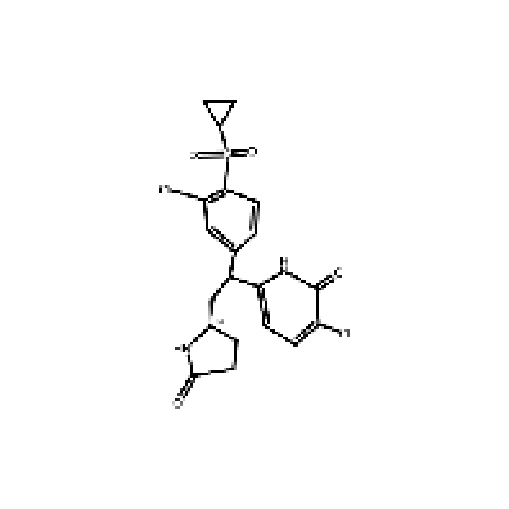 O=C1CC[C@H](CC(c2ccc(S(=O)(=O)C3CC3)c(Cl)c2)c2ccc(Cl)c(=O)[nH]2)N1